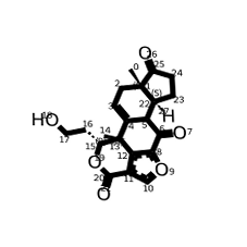 C[C@]12CC=C3C(C(=O)c4occ5c4[C@]3(C)[C@@H](CCO)OC5=O)[C@@H]1CCC2=O